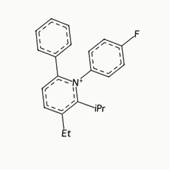 CCc1ccc(-c2ccccc2)[n+](-c2ccc(F)cc2)c1C(C)C